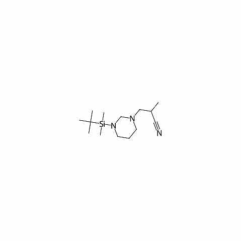 CC(C#N)CN1CCCN([Si](C)(C)C(C)(C)C)C1